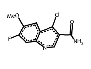 COc1cc2c(Cl)c(C(N)=O)cnc2cc1F